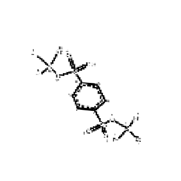 CC[Si](CC)(CC)OS(=O)(=O)c1ccc(S(=O)(=O)O[Si](CC)(CC)CC)cc1